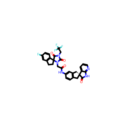 O=C(CN1C(=O)N(CC(F)(F)F)C(=O)C12CCc1cc(F)ccc12)Nc1ccc2c(c1)C[C@@]1(C2)C(=O)Nc2ncccc21